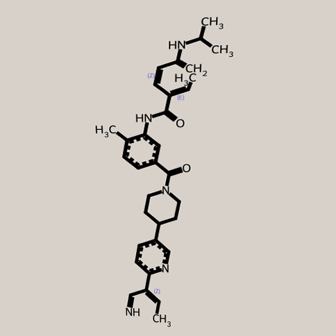 C=C(/C=C\C(=C/C)C(=O)Nc1cc(C(=O)N2CCC(c3ccc(/C(C=N)=C/C)nc3)CC2)ccc1C)NC(C)C